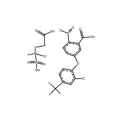 O=C(O)CS[N+]([O-])(F)S(=O)(=O)O.O=C(O)c1cc(Oc2ccc(C(F)(F)F)cc2Cl)ccc1[N+](=O)[O-]